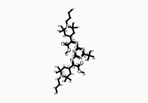 CCCCN1C(C)(C)CC(C(=Nc2nc(N=C(C(=O)OC)C3CC(C)(C)N(CCCC)C(C)(C)C3)nc(C(C)(C)C)n2)C(=O)OC)CC1(C)C